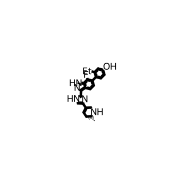 CCc1cc(O)ccc1-c1ccc2c(-c3nc(C4=CC[C@@H](C)NC4)c[nH]3)n[nH]c2c1F